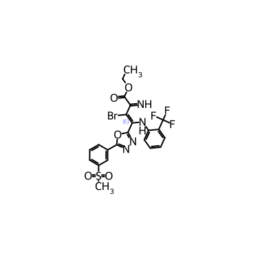 CCOC(=O)C(=N)/C(Br)=C(\Nc1ccccc1C(F)(F)F)c1nnc(-c2cccc(S(C)(=O)=O)c2)o1